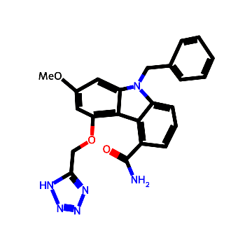 COc1cc(OCc2nnn[nH]2)c2c3c(C(N)=O)cccc3n(Cc3ccccc3)c2c1